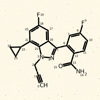 C#CCn1nc(-c2cc(F)ccc2C(N)=O)c2cc(F)cc(C3CC3)c21